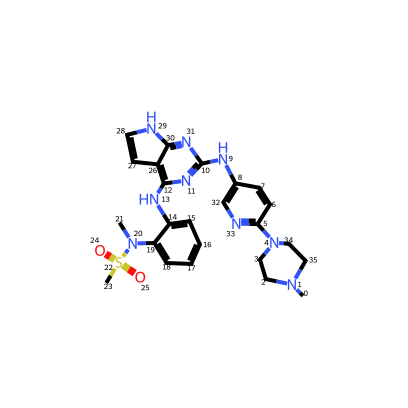 CN1CCN(c2ccc(Nc3nc(Nc4ccccc4N(C)S(C)(=O)=O)c4cc[nH]c4n3)cn2)CC1